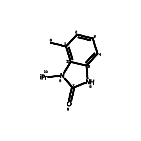 Cc1cccc2[nH]c(=O)n(C(C)C)c12